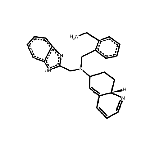 NCc1ccccc1CN(Cc1nc2ccccc2[nH]1)C1C=C2C=CC=N[C@H]2CC1